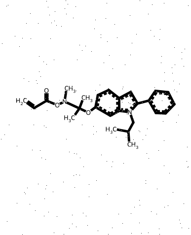 C=CC(=O)ON(C)C(C)(C)Oc1ccc2cc(-c3ccccc3)n(CC(C)C)c2c1